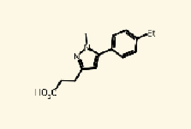 CCc1ccc(-c2cc(CCC(=O)O)nn2C)cc1